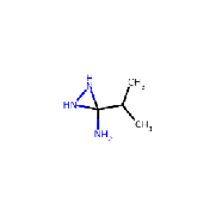 CC(C)C1(N)NN1